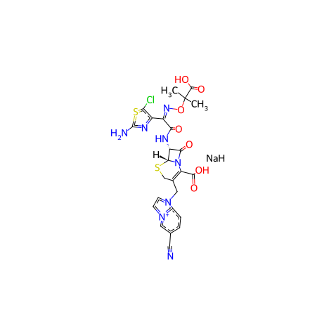 CC(C)(O/N=C(\C(=O)N[C@@H]1C(=O)N2C(C(=O)O)=C(Cn3cc[n+]4cc(C#N)ccc34)CS[C@H]12)c1nc(N)sc1Cl)C(=O)O.[NaH]